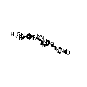 Cn1ncc(-c2ccc(CNc3cc(-c4cnc5cc(OCCCN6CCN(C7COC7)CC6)ccn45)ncn3)cc2)n1